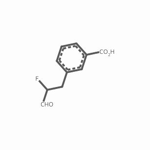 O=CC(F)Cc1cccc(C(=O)O)c1